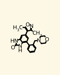 Cc1noc(C)c1-c1cc(-c2ccccc2CN2CCOCC2)c2[nH]c(=O)[nH]c2c1